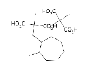 CC1CCCCC(CC(C)(C(=O)O)C(=O)O)C1CC(C)(C(=O)O)C(=O)O